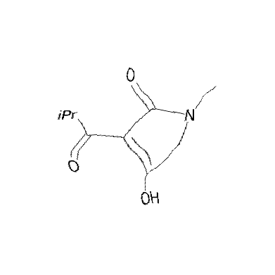 CC(C)C(=O)C1=C(O)CN(C)C1=O